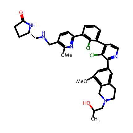 COc1cc(-c2nccc(-c3cccc(-c4ccc(CNC[C@@H]5CCC(=O)N5)c(OC)n4)c3Cl)c2Cl)cc2c1CN(CC(C)O)CC2